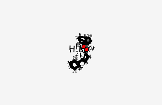 NC(=O)C12CC3CC(C1)C(NC(=O)c1ccc(-c4ccccc4F)o1)C(C3)C2